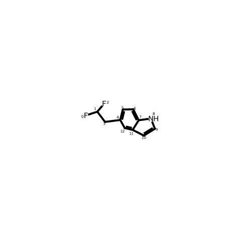 FC(F)Cc1ccc2[nH]ccc2c1